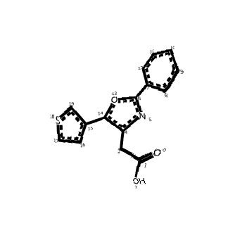 O=C(O)Cc1nc(-c2ccccc2)oc1-c1ccsc1